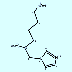 CCCCCCCCCCCCC(Cn1ccnc1)SC